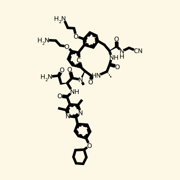 Cc1nc(-c2ccc(OC3CCCCC3)cc2)nc(C)c1C(=O)N[C@@H](CC(N)=O)C(=O)N(C)[C@@H]1C(=O)N[C@@H](C)C(=O)N[C@H](C(=O)NCC#N)Cc2ccc(OCCN)c(c2)-c2cc1ccc2OCCN